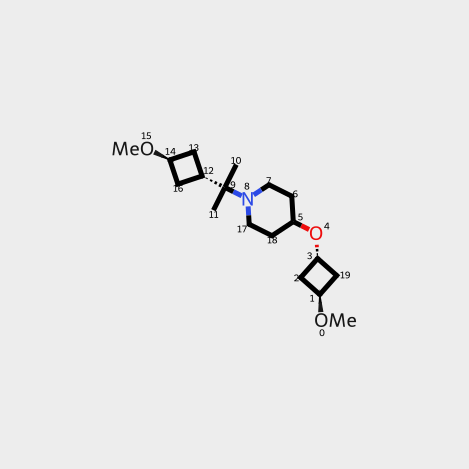 CO[C@H]1C[C@H](OC2CCN(C(C)(C)[C@H]3C[C@H](OC)C3)CC2)C1